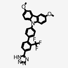 COc1ccc2c(c1)c1cc(OC)ccc1n2-c1ccc(-c2ccc(-c3nnn[nH]3)cc2C(F)(F)F)cc1